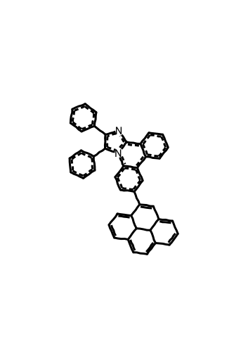 C1=CC2=CC=C3C=CC=C4C(c5ccc6c(c5)c5ccccc5c5nc(-c7ccccc7)c(-c7ccccc7)n65)=CC(=C1)C2C34